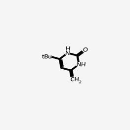 C=C1C=C(C(C)(C)C)NC(=O)N1